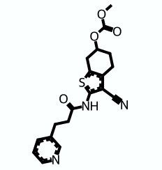 COC(=O)OC1CCc2c(sc(NC(=O)CCc3cccnc3)c2C#N)C1